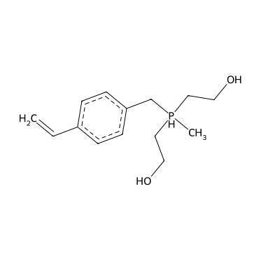 C=Cc1ccc(C[PH](C)(CCO)CCO)cc1